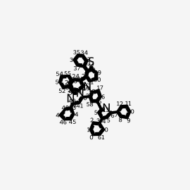 c1ccc(-c2cc(-c3ccccc3)nc(-c3ccc(-n4c5ccccc5c5c6c(ccc54)sc4ccccc46)c(-c4cc(-c5ccccc5)nc(-c5ccccc5)n4)c3)c2)cc1